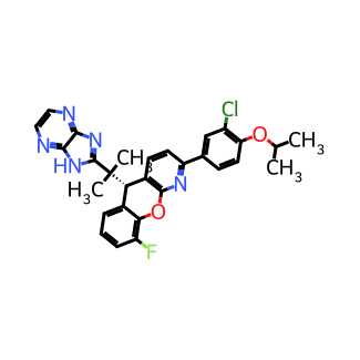 CC(C)Oc1ccc(-c2ccc3c(n2)Oc2c(F)cccc2[C@@H]3C(C)(C)c2nc3nccnc3[nH]2)cc1Cl